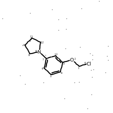 ClCOc1c[c]cc(N2CCCC2)c1